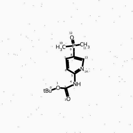 CC(C)(C)OC(=O)Nc1ccc(P(C)(C)=O)cn1